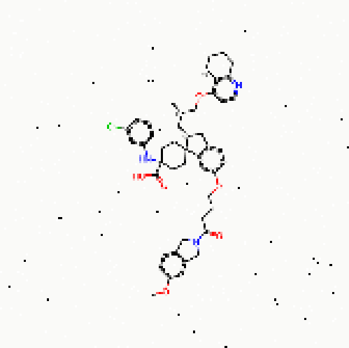 COc1ccc2c(c1)CN(C(=O)CCCOc1ccc3c(c1)C1(CCC(Nc4cccc(Cl)c4)(C(=O)O)CC1)[C@@H](C[C@@H](C)COc1ccnc4c1[C@H](C)CCC4)C3)C2